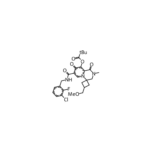 COCC1CC2(C1)CN(C)C(=O)c1c(OC(=O)C(C)(C)C)c(=O)c(C(=O)NCc3cccc(Cl)c3F)cn12